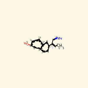 C/C=C(\C=N)c1ccc2cc(O)ccc2c1